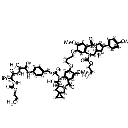 C=CCOC(=O)N[C@H](C(=O)N[C@@H](C)C(=O)Nc1ccc(COC(=O)N2c3cc(OCCCOc4cc5c(cc4OC)C(=O)N4C=C(c6ccc(OC)cc6)C[C@H]4CN5C(=O)OCC=C)c(OC)cc3C(=O)N3CC4(CC4)C[C@H]3C2O)cc1)C(C)C